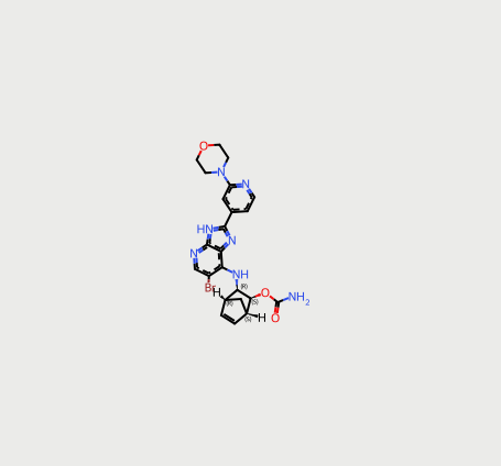 NC(=O)O[C@@H]1[C@H](Nc2c(Br)cnc3[nH]c(-c4ccnc(N5CCOCC5)c4)nc23)[C@H]2C=C[C@@H]1C2